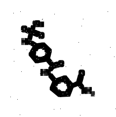 CC(C)(C)S(=O)(=O)Nc1ccc(C(=O)Nc2cccc(C(N)=O)c2)cc1